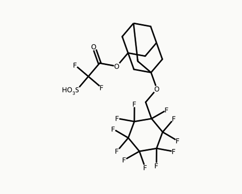 O=C(OC12CC3CC(CC(OCC4(F)C(F)(F)C(F)(F)C(F)(F)C(F)(F)C4(F)F)(C3)C1)C2)C(F)(F)S(=O)(=O)O